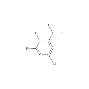 CCc1cc(F)c(F)c(C(F)F)c1